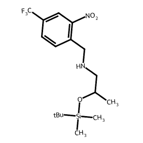 CC(CNCc1ccc(C(F)(F)F)cc1[N+](=O)[O-])O[Si](C)(C)C(C)(C)C